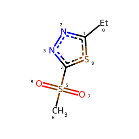 CCc1nnc(S(C)(=O)=O)s1